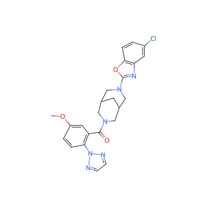 COc1ccc(-n2nccn2)c(C(=O)N2CC3CC(C2)CN(c2nc4cc(Cl)ccc4o2)C3)c1